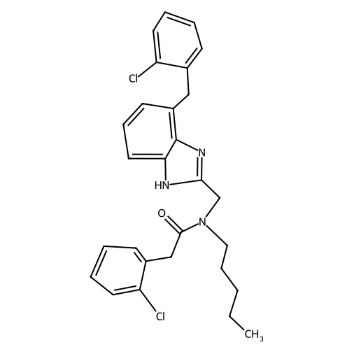 CCCCCN(Cc1nc2c(Cc3ccccc3Cl)cccc2[nH]1)C(=O)Cc1ccccc1Cl